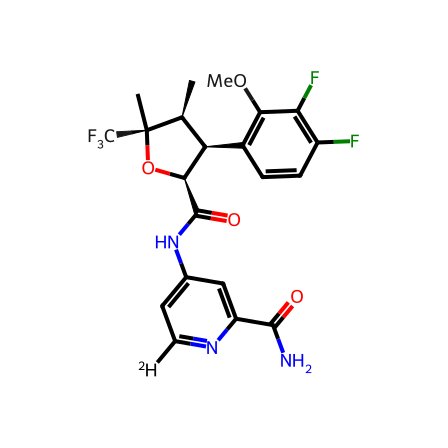 [2H]c1cc(NC(=O)[C@H]2O[C@@](C)(C(F)(F)F)[C@@H](C)[C@H]2c2ccc(F)c(F)c2OC)cc(C(N)=O)n1